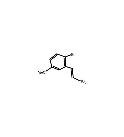 COc1ccc(Br)c(C=C[N+](=O)[O-])c1